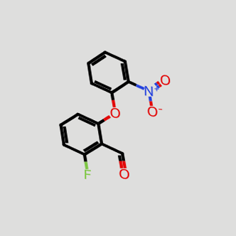 O=Cc1c(F)cccc1Oc1ccccc1[N+](=O)[O-]